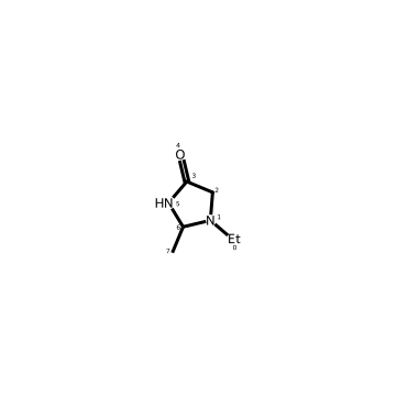 CCN1CC(=O)NC1C